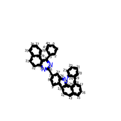 c1ccc(-c2nc(-c3ccc4c5ccc6cccc7c8ccccc8n(c4c3)c5c67)nc3ccc4ccccc4c23)cc1